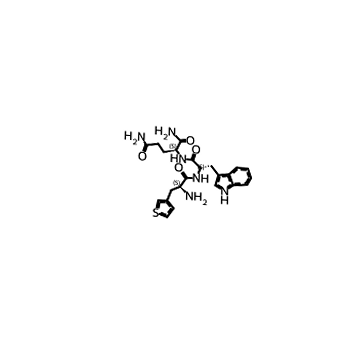 NC(=O)CC[C@H](NC(=O)[C@H](Cc1c[nH]c2ccccc12)NC(=O)[C@@H](N)Cc1ccsc1)C(N)=O